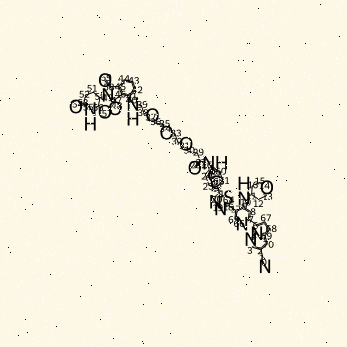 N#Cc1cnn2c(-c3cc(NC4CCOCC4)c(-c4nnc(C56CCC(NC(=O)CCOCCOCCOCCNc7cccc8c7C(=O)N(C7CCC(=O)NC7=O)C8=O)(CC5)CC6)s4)cn3)ccc2c1